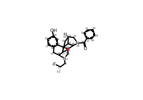 C[C@H](F)CN1CCC23c4cc(O)ccc4CC1C21CCC2C3[C@@H](CN2C(=O)c2ccccc2)C1